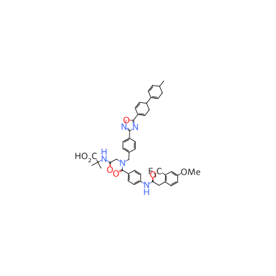 COc1ccc(CC(=O)Nc2ccc(C(=O)N(CC(=O)NC(C)(C)C(=O)O)Cc3ccc(-c4noc(C5=CCC(C6=CCC(C)C=C6)C=C5)n4)cc3)cc2)c(C(F)(F)F)c1